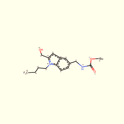 CC(C)(C)OC(=O)NCc1ccc2c(c1)cc(CO)n2CCCC(F)(F)F